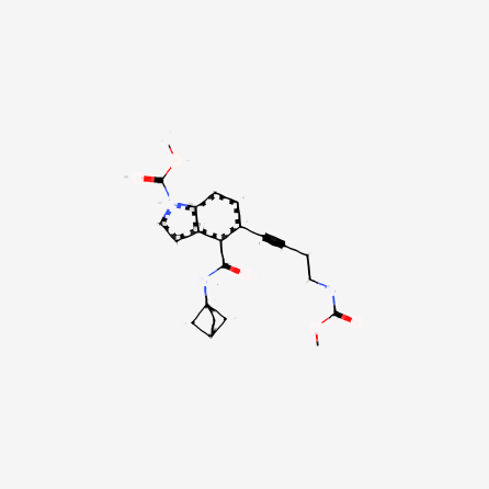 CC(C)(C)OC(=O)NCCC#Cc1ccc2c(ccn2C(=O)OC(C)(C)C)c1C(=O)NC12CC(C1)C2